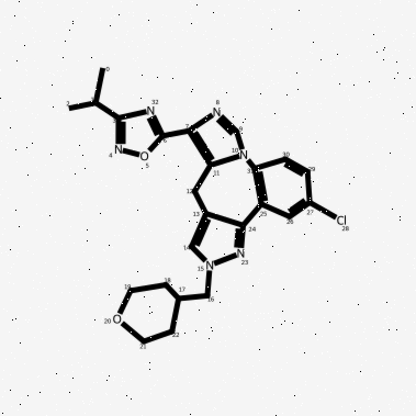 CC(C)c1noc(-c2ncn3c2Cc2cn(CC4CCOCC4)nc2-c2cc(Cl)ccc2-3)n1